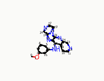 COc1cccc(Nc2c3ccncc3nc3c2nc2cnccn23)c1